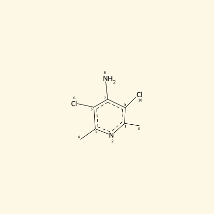 Cc1nc(C)c(Cl)c(N)c1Cl